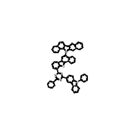 c1ccc(-c2nc(-c3ccc4c(c3)c3ccccc3n4-c3ccccc3)nc(-c3cccc4c3oc3c5ccccc5c(-n5c6cc7ccccc7cc6c6ccc7ccccc7c65)cc43)n2)cc1